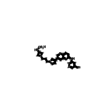 CC(C)c1cnnc(Nc2ccc3ncc(-c4cnn(CCCN5CC(NC(=O)O)C5)c4)cc3n2)c1